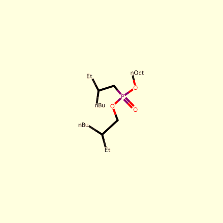 CCCCCCCCOP(=O)(CC(CC)CCCC)OCC(CC)CCCC